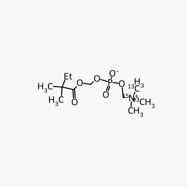 CCC(C)(C)C(=O)OCOP(=O)([O-])OC[15N+](C)([13CH3])[13CH3]